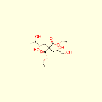 CCOC(=O)C(CC(O)CO)(CC(O)C(C)O)C(=O)OCC